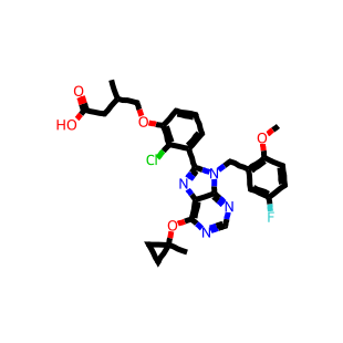 COc1ccc(F)cc1Cn1c(-c2cccc(OCC(C)CC(=O)O)c2Cl)nc2c(OC3(C)CC3)ncnc21